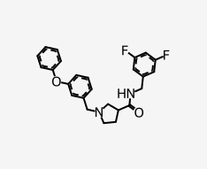 O=C(NCc1cc(F)cc(F)c1)C1CCN(Cc2cccc(Oc3ccccc3)c2)C1